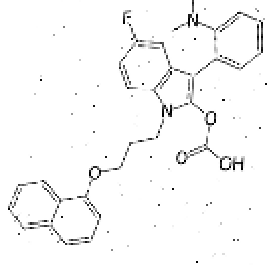 CN(C)c1ccccc1-c1c(OC(=O)O)n(CCCOc2cccc3ccccc23)c2ccc(F)cc12